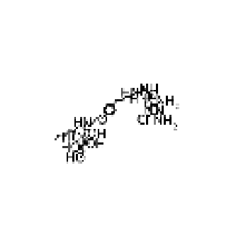 CCCCCCC(NCCOc1ccc(CCCCNC(=N)NC(=O)c2nc(Cl)c(N)nc2N)cc1)[C@H](O)[C@@H](O)[C@H](O)[C@H](O)CO